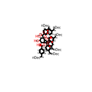 CCCCCCCCCCCc1ccc(C(=O)O[C@@]2(C(=O)c3ccc(CCCCCCCCCCC)cc3)[C@@](OC(=O)c3ccc(CCCCCCCCCCC)cc3)(C(=O)c3ccc(CCCCCCCCCCC)cc3)[C@@H](O)[C@H](O)[C@@H](O)[C@@]2(OC(=O)c2ccc(CCCCCCCCCCC)cc2)C(=O)c2ccc(CCCCCCCCCCC)cc2)cc1